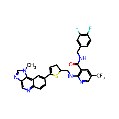 Cn1cnc2cnc3ccc(C4=CCC(CNc5ncc(C(F)(F)F)cc5C(=O)NCc5ccc(F)c(F)c5)S4)cc3c21